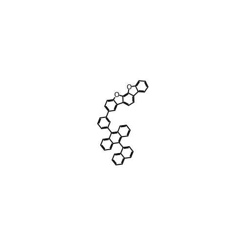 c1cc(-c2ccc3oc4c(ccc5c6ccccc6oc54)c3c2)cc(-c2c3ccccc3c(-c3cccc4ccccc34)c3ccccc23)c1